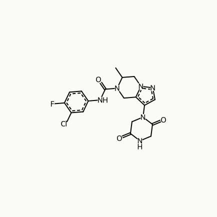 CC1Cn2ncc(N3CC(=O)NCC3=O)c2CN1C(=O)Nc1ccc(F)c(Cl)c1